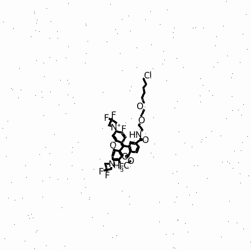 COC(=O)c1ccc(C(=O)NCCOCCOCCCCCCCl)cc1-c1c2cc(F)c(=[N+]3CC(F)(F)C3)cc-2oc2cc(N3CC(F)(F)C3)c(F)cc12